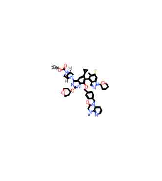 Cc1c(F)cc2c(cnn2C2CCCCO2)c1-c1c(C2CC2)cc2c(N3C[C@@H]4C[C@H]3CN4C(=O)OC(C)(C)C)nc(OC3CCOCC3)nc2c1OCc1ccc(CN2C(=O)CN(C)c3ncccc32)cc1